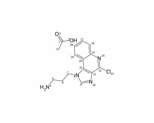 CC(=O)O.NCCCn1cnc2c(Cl)nc3ccccc3c21